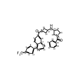 O=C(c1ccc2c(-c3ccc(C(F)(F)F)cc3)ncnc2c1)N1CC(N[C@H]2CCN(C(=O)c3ccccc3)C2)C1